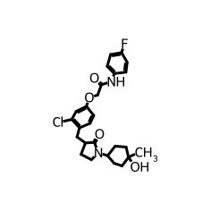 CC1(O)CCC(N2CCC(Cc3ccc(OCC(=O)Nc4ccc(F)cc4)cc3Cl)C2=O)CC1